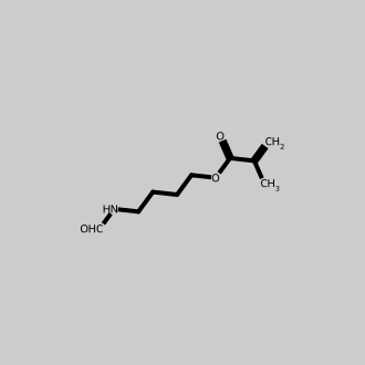 C=C(C)C(=O)OCCCCNC=O